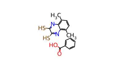 Cc1ccc(C)c2nc(S)c(S)nc12.O=C(O)c1ccccc1